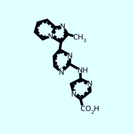 Cc1nc2ccccn2c1-c1ccnc(Nc2cnc(C(=O)O)cn2)n1